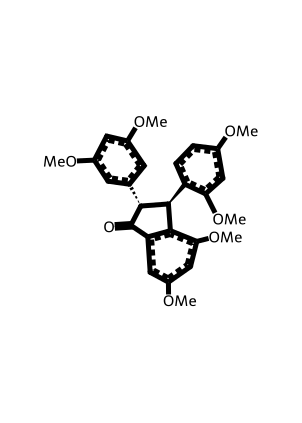 COc1cc(OC)cc([C@H]2C(=O)c3cc(OC)cc(OC)c3[C@@H]2c2ccc(OC)cc2OC)c1